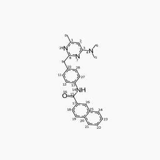 Cc1[c]c(N(C)C)nc(Cc2ccc(NC(=O)c3ccc4ccccc4c3)cc2)n1